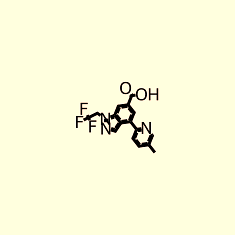 Cc1ccc(-c2cc(C(=O)O)cc3c2cnn3CC(F)(F)F)nc1